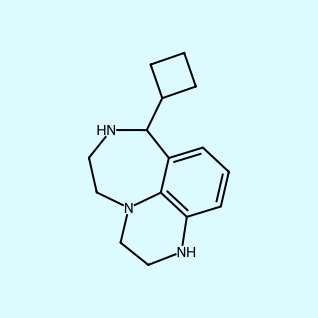 c1cc2c3c(c1)C(C1CCC1)NCCN3CCN2